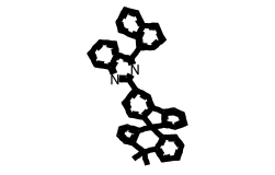 CC1(C)c2ccccc2C2(c3ccccc3-c3cc(-c4nc(-c5cccc6ccccc56)c5ccccc5n4)ccc32)c2ccccc21